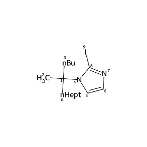 CCCCCCCC(C)(CCCC)n1ccnc1I